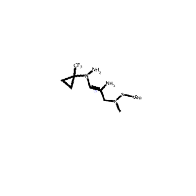 CN(C/C(N)=C/N(N)C1(C(F)(F)F)CC1)SC(C)(C)C